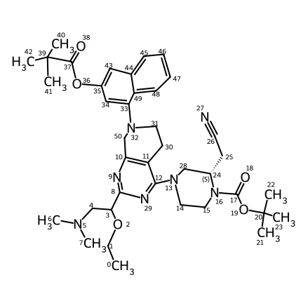 CCOC(CN(C)C)c1nc2c(c(N3CCN(C(=O)OC(C)(C)C)[C@@H](CC#N)C3)n1)CCN(c1cc(OC(=O)C(C)(C)C)cc3ccccc13)C2